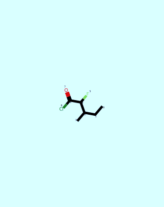 CCC(C)C(F)C(=O)Cl